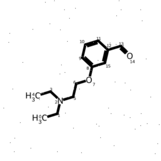 CCN(CC)CCOc1cccc([C]=O)c1